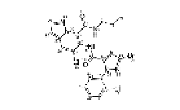 CCCNC(=O)c1c(NC(=O)c2cc(Br)nn2-c2ncccc2Cl)c(Cl)cc2ccnn12